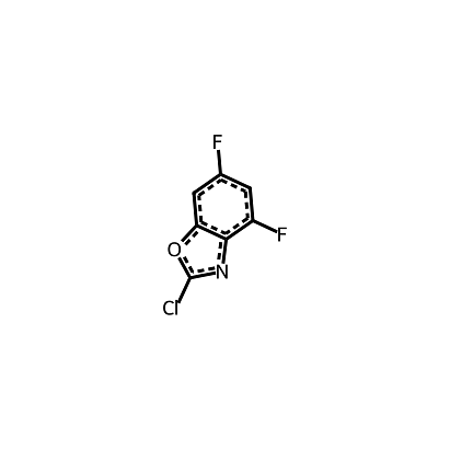 Fc1cc(F)c2nc(Cl)oc2c1